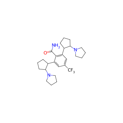 NC(=O)c1c(C2CCCC2N2CCCC2)cc(C(F)(F)F)cc1C1CCCC1N1CCCC1